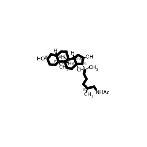 CC(=O)NC[C@@H](C)CCC[C@@H](C)[C@H]1[C@@H](O)C[C@H]2[C@@H]3CC[C@H]4C[C@@H](O)CC[C@]4(C)[C@H]3CC[C@]12C